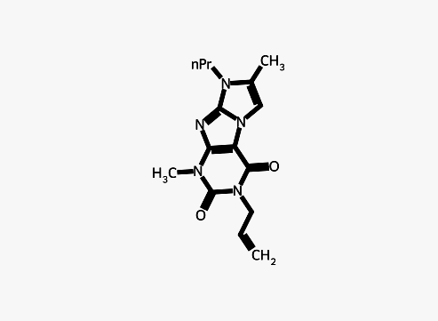 C=CCn1c(=O)c2c(nc3n(CCC)c(C)cn23)n(C)c1=O